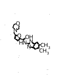 Cc1cc2nc(NC(=O)c3ccc(CN4CCOCC4)o3)[nH]c2cc1C